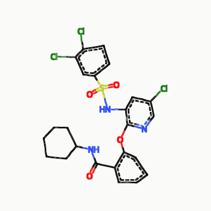 O=C(NC1CCCCC1)c1ccccc1Oc1ncc(Cl)cc1NS(=O)(=O)c1ccc(Cl)c(Cl)c1